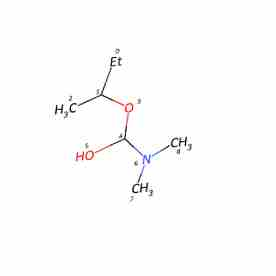 CCC(C)OC(O)N(C)C